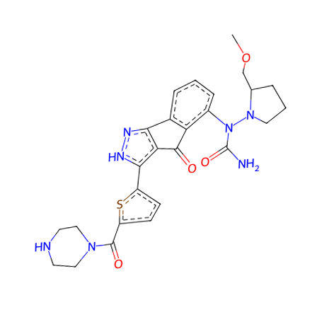 COCC1CCCN1N(C(N)=O)c1cccc2c1C(=O)c1c-2n[nH]c1-c1ccc(C(=O)N2CCNCC2)s1